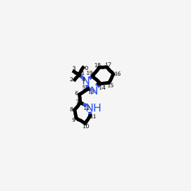 CC(C)(C)N1C(CC2CCCCN2)N=C2CCCCC21